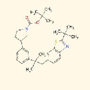 CC(C)(C)OC(=O)N1CCC(c2cccc(C(C)(C)Cc3ccc4nc(C(C)(C)C)sc4c3)c2)C1